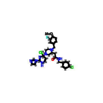 COc1ccc(CN2CCN(C3(Cl)C=CNC(n4ccnc4)=N3)CC2CC(=O)NCc2ccc(Cl)cc2)cc1F